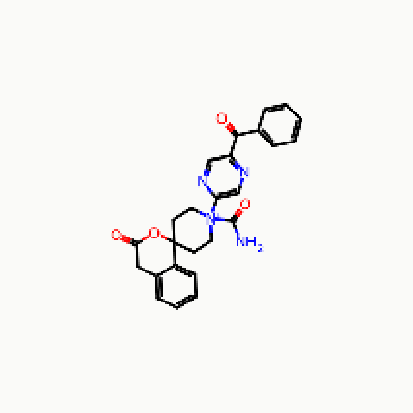 NC(=O)[N+]1(c2cnc(C(=O)c3ccccc3)cn2)CCC2(CC1)OC(=O)Cc1ccccc12